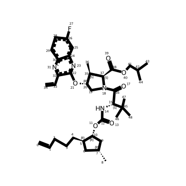 C=CCCC[C@@H]1C[C@@H](C)C[C@H]1OC(=O)N[C@H](C(=O)N1C[C@H](Oc2nc3cc(F)ccc3nc2C=C)[C@@H](C)[C@H]1C(=O)OCC(C)C)C(C)(C)C